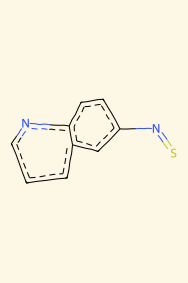 S=Nc1ccc2ncccc2c1